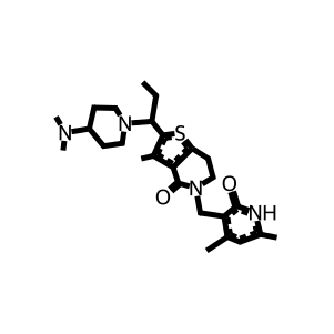 CCC(c1sc2c(c1C)C(=O)N(Cc1c(C)cc(C)[nH]c1=O)CC2)N1CCC(N(C)C)CC1